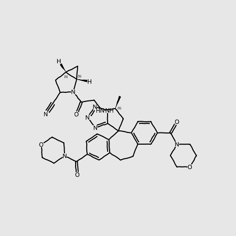 C[C@@H](CC1(c2nnn[nH]2)c2ccc(C(=O)N3CCOCC3)cc2CCc2cc(C(=O)N3CCOCC3)ccc21)NCC(=O)N1C(C#N)C[C@@H]2C[C@@H]21